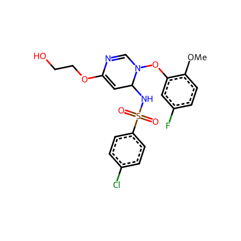 COc1ccc(F)cc1ON1C=NC(OCCO)=CC1NS(=O)(=O)c1ccc(Cl)cc1